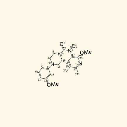 CCN(C(=O)N1CCN(c2cccc(OC)c2)CC1)c1cc(C)c(C)nc1OC